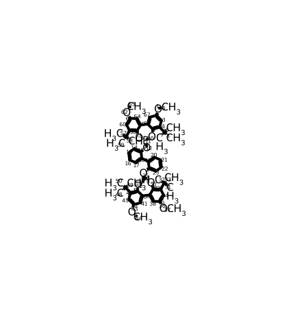 COc1cc(C(C)(C)C)c2op(Oc3ccccc3-c3ccccc3Op3oc4c(C(C)(C)C)cc(OC)cc4c4cc(OC)cc(C(C)(C)C)c4o3)oc3c(C(C)(C)C)cc(OC)cc3c2c1